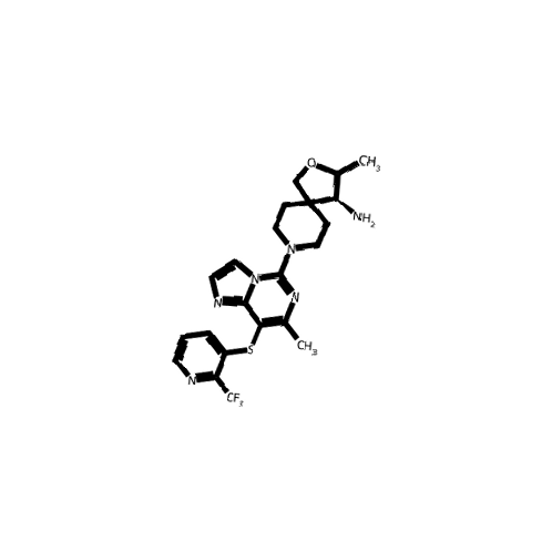 Cc1nc(N2CCC3(CC2)COC(C)[C@H]3N)n2ccnc2c1Sc1cccnc1C(F)(F)F